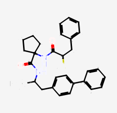 O=C(NC1(C(=O)NC(Cc2ccc(-c3ccccc3)cc2)C(=O)O)CCCC1)C(S)Cc1ccccc1